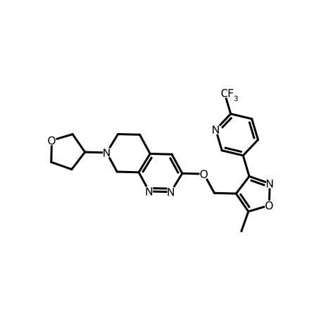 Cc1onc(-c2ccc(C(F)(F)F)nc2)c1COc1cc2c(nn1)CN(C1CCOC1)CC2